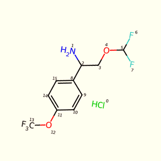 Cl.NC(COC(F)F)c1ccc(OC(F)(F)F)cc1